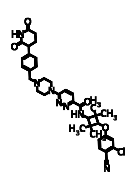 CC1(C)C(NC(=O)c2ccc(N3CCN(Cc4ccc(C5CCC(=O)NC5=O)cc4)CC3)nn2)C(C)(C)C1Oc1ccc(C#N)c(Cl)c1